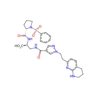 O=C(NC[C@H](NC(=O)[C@@H]1CCCN1S(=O)(=O)c1ccccc1)C(=O)O)c1cnn(CCc2ccc3c(n2)NCCC3)c1